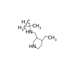 CCC1CCNCC1CNC(C)(C)C